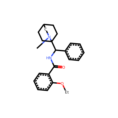 CCOc1ccccc1C(=O)NC(c1ccccc1)C12CCC(CC1)CN2C